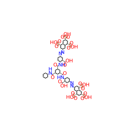 O=C(Nc1ccccc1)c1cc(C(=O)Nc2ccc(/N=N/c3cc(S(=O)(=O)O)c4cc(S(=O)(=O)O)cc(S(=O)(=O)O)c4c3)cc2C(=O)O)cc(C(=O)Nc2ccc(/N=N/c3cc(S(=O)(=O)O)c4cc(S(=O)(=O)O)cc(S(=O)(=O)O)c4c3)cc2C(=O)O)c1